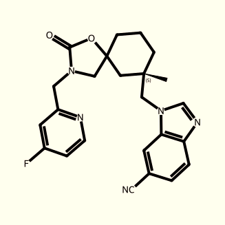 C[C@]1(Cn2cnc3ccc(C#N)cc32)CCCC2(CN(Cc3cc(F)ccn3)C(=O)O2)C1